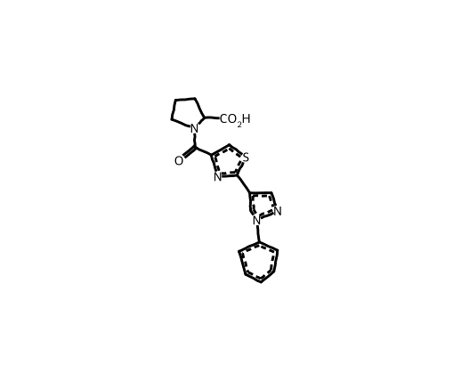 O=C(O)C1CCCN1C(=O)c1csc(-c2cnn(-c3ccccc3)c2)n1